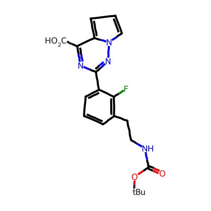 CC(C)(C)OC(=O)NCCc1cccc(-c2nc(C(=O)O)c3cccn3n2)c1F